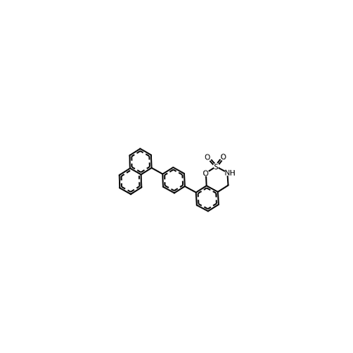 O=S1(=O)NCc2cccc(-c3ccc(-c4cccc5ccccc45)cc3)c2O1